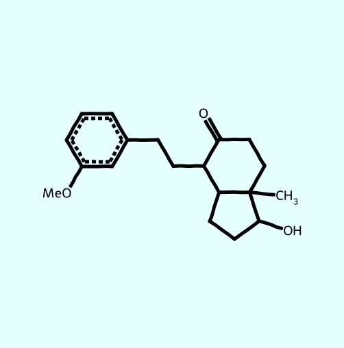 COc1cccc(CCC2C(=O)CCC3(C)C(O)CCC23)c1